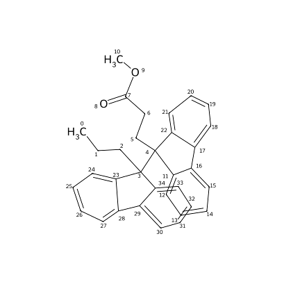 CCCC1(C2(CCC(=O)OC)c3ccccc3-c3ccccc32)c2ccccc2-c2ccccc21